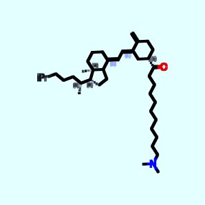 C=C1CC[C@H](C(=O)CCCCCCCCCCN(C)C)C/C1=C\C=C1/CCC[C@@]2(C)C1CC[C@@H]2[C@H](C)CCCC(C)C